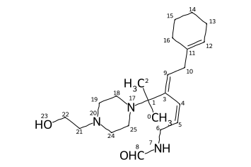 CC(C)(C(/C=C\CNC=O)=C/CC1=CCCCC1)N1CCN(CCO)CC1